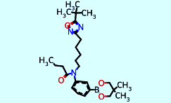 CCCC(=O)N(CCCCCc1noc(C(C)(C)C)n1)c1cccc(B2OCC(C)(C)CO2)c1